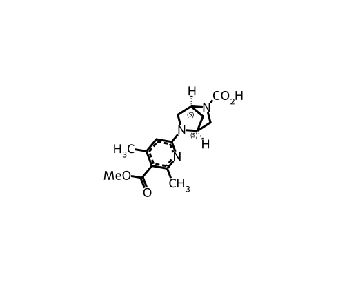 COC(=O)c1c(C)cc(N2C[C@@H]3C[C@H]2CN3C(=O)O)nc1C